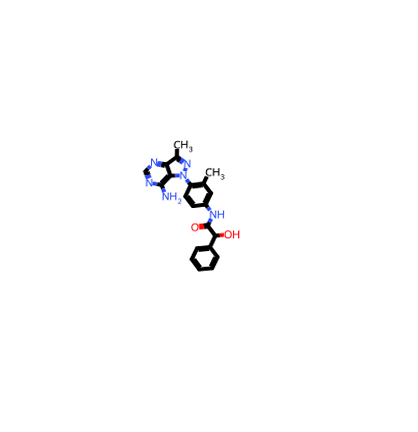 Cc1cc(NC(=O)C(O)c2ccccc2)ccc1-n1nc(C)c2ncnc(N)c21